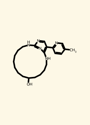 Cc1ccc(-c2cnc3nc2NCCCCC(O)CCCCCCCN3)nc1